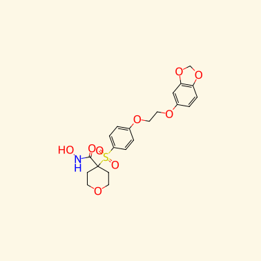 O=C(NO)C1(S(=O)(=O)c2ccc(OCCOc3ccc4c(c3)OCO4)cc2)CCOCC1